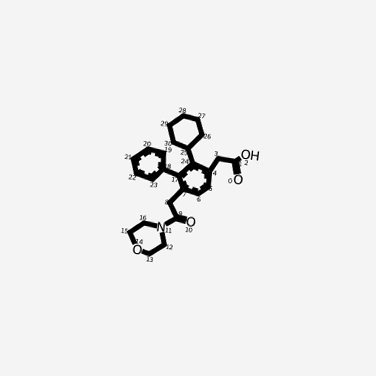 O=C(O)Cc1ccc(CC(=O)N2CCOCC2)c(-c2ccccc2)c1C1CCCCC1